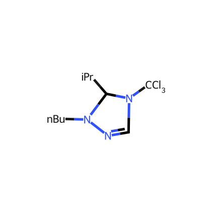 CCCCN1N=CN(C(Cl)(Cl)Cl)C1C(C)C